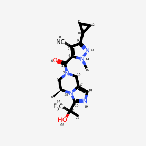 C[C@H]1CN(C(=O)c2c(C#N)c(C3CC3)nn2C)Cc2cnc(C(C)(O)C(F)(F)F)n21